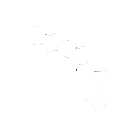 COc1cc2[nH]c(=O)c([C@H](C)Nc3ncc(-n4nnnc4C)s3)cc2cc1Cl